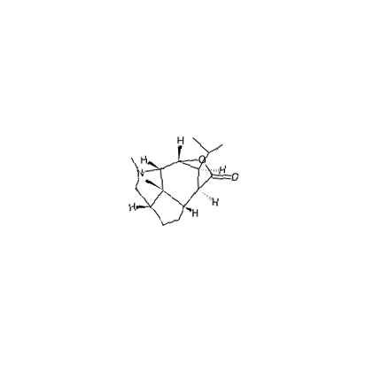 CC(C)[C@@H]1[C@H]2OC(=O)[C@H]1[C@@H]1CC[C@@H]3CN(C)[C@H]2[C@@]31C